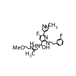 COCCN[C@H](C)CNC(=O)c1cc(F)c(-c2cnn(C)c2)nc1NCCc1cccc(F)c1